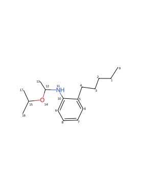 CCCCCc1ccccc1NC(C)OC(C)C